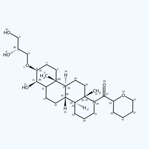 C[C@]12CC[C@H](OC[C@H](O)CO)[C@H](O)C1CC[C@@H]1[C@@H]2CC[C@@]2(C)[C@H]1CCCN2C(=O)C1CCCCO1